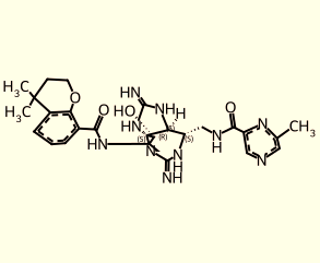 Cc1cncc(C(=O)NC[C@@H]2NC(=N)N3CC(NC(=O)c4cccc5c4OCCC5(C)C)[C@@H](O)[C@@]34NC(=N)N[C@@H]24)n1